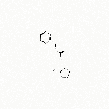 CCOC(=O)C[C@H]1CCC[C@H]1CNC(=O)OCc1ccccc1